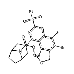 CCS(=O)(=O)c1nc(N2CC3CCC(C2)N3C(=O)OC(C)(C)C)c2c3c(c(Br)c(F)c2n1)COC3